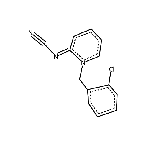 N#CN=c1ccccn1Cc1ccccc1Cl